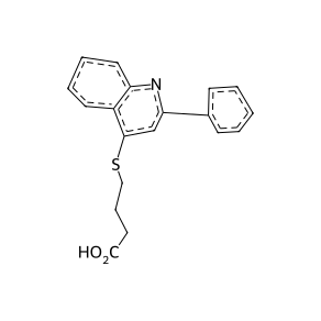 O=C(O)CCCSc1cc(-c2ccccc2)nc2ccccc12